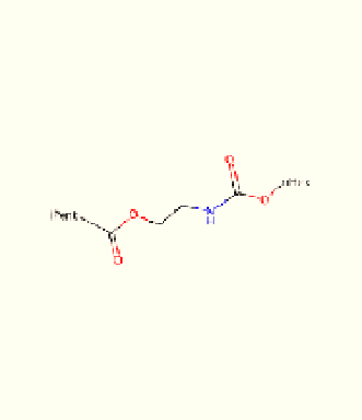 CCCCCCOC(=O)NCCOC(=O)C(C)CCC